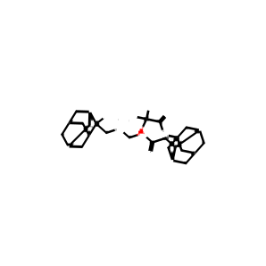 CC(F)(F)C(=O)OC12CC3CC(C1)C(CC(=O)OCOCC1(C)C4CC5CC(C4)CC1C5)C(C3)C2